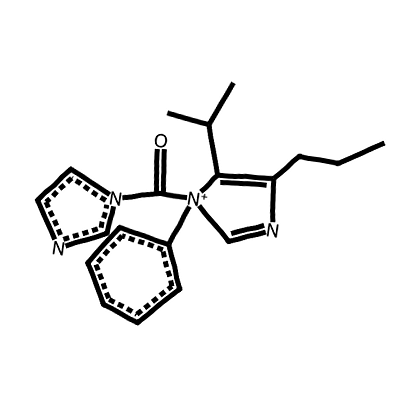 CCCC1=C(C(C)C)[N+](C(=O)n2ccnc2)(c2ccccc2)C=N1